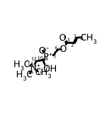 CC=CC(=O)OCC/[P+]([O-])=C(\O)C[N+](C)(C)C